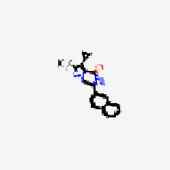 O=C(O)c1nn2cc(-c3ccc4ccccc4c3)[nH]c(=O)c2c1C1CC1